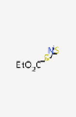 CCOC(=O)CCSCc1cs[c]n1